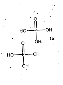 O=P(O)(O)O.O=P(O)(O)O.[Gd]